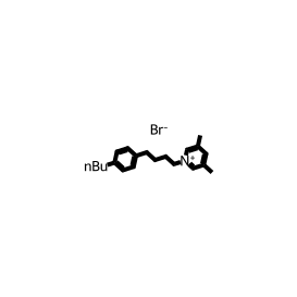 CCCCc1ccc(CCCC[n+]2cc(C)cc(C)c2)cc1.[Br-]